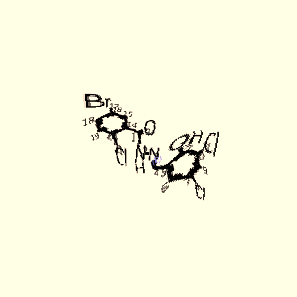 O=C(N/N=C/c1cc(Cl)cc(Cl)c1O)c1cc(Br)ccc1Cl